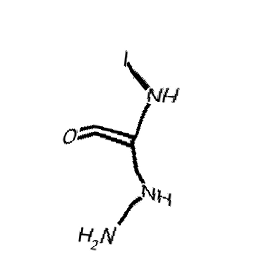 NNC(=O)NI